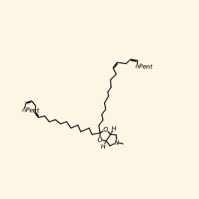 CCCCC/C=C\C/C=C\CCCCCCCCCCC1(CCCCCCCCCC/C=C\C/C=C\CCCCC)O[C@H]2CN(C)C[C@H]2O1